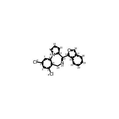 Clc1cc(Cl)c2c(c1)-n1cccc1C(c1occ3ccccc13)=NC2